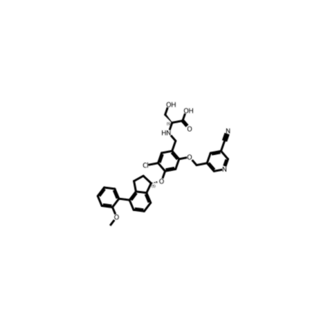 COc1ccccc1-c1cccc2c1CC[C@@H]2Oc1cc(OCc2cncc(C#N)c2)c(CN[C@@H](CO)C(=O)O)cc1Cl